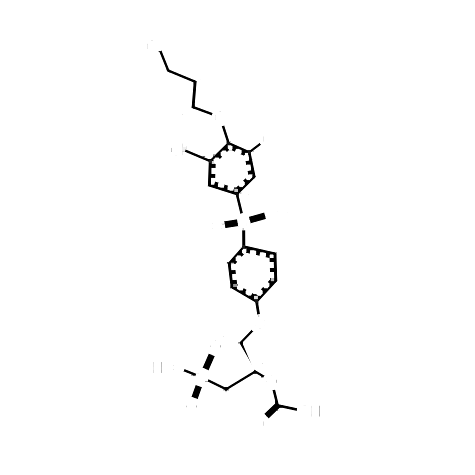 CC(=O)O[C@H](COc1ccc(S(=O)(=O)c2cc(Cl)c(OCCCCl)c(Cl)c2)cc1)CS(C)(=O)=O